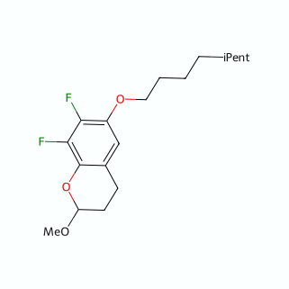 CCCC(C)CCCCOc1cc2c(c(F)c1F)OC(OC)CC2